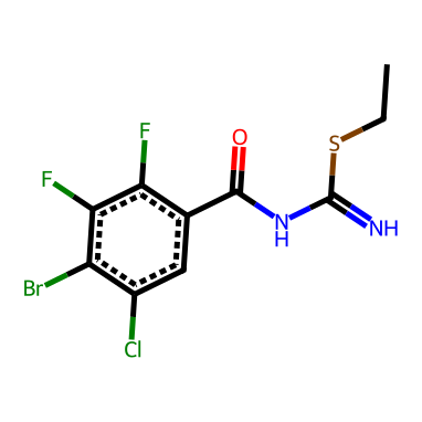 CCSC(=N)NC(=O)c1cc(Cl)c(Br)c(F)c1F